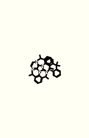 CC(C)c1cccc(C(C)C)c1-n1c(=NN2c3ccccc3C(C)(C)c3ccccc32)n(-c2c(C(C)C)cccc2C(C)C)c2nccnc21